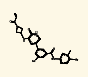 C=CC(=O)N1CC(Nc2cc(-c3cc(C#N)cc(C(=O)Nc4ccc(C(C)C)c(C)c4)c3)c[nH]c2=O)C1